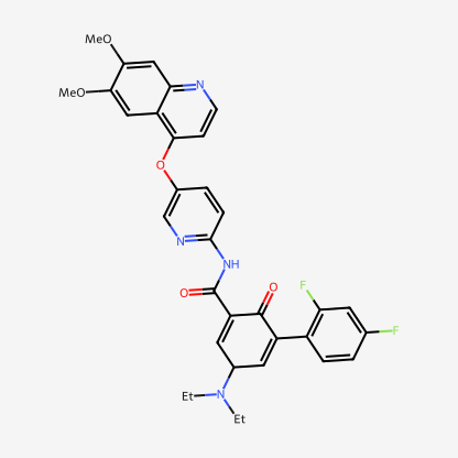 CCN(CC)C1C=C(C(=O)Nc2ccc(Oc3ccnc4cc(OC)c(OC)cc34)cn2)C(=O)C(c2ccc(F)cc2F)=C1